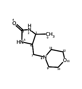 CC1NC(=O)NC1CN1CCOCC1